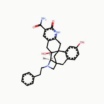 NC(=O)c1cc2c([nH]c1=O)CC13CC4(Cc5ccc(O)cc51)CN(CCc1ccccc1)[C@H]4[C@]3(O)C2